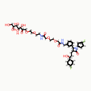 O=C(COCCOCC(=O)NCc1cccc(C2C(CCC(O)c3ccc(F)cc3)C(=O)N2c2ccc(F)cc2)c1)NCCOCCOCC(=O)C(O)C(O)C(O)C(O)CO